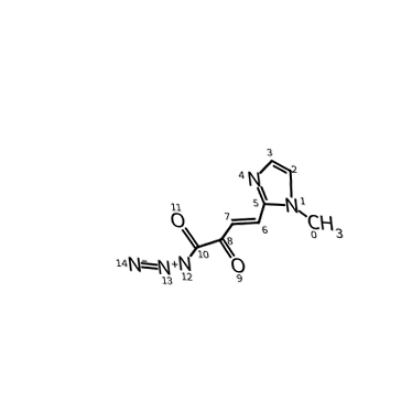 Cn1ccnc1/C=C/C(=O)C(=O)N=[N+]=[N-]